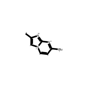 Cc1cn2ccc(C(C)(C)C)nc2n1